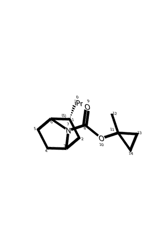 CC(C)[C@@H]1CC2CCC1N2C(=O)OC1(C)CC1